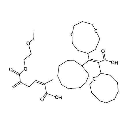 C=C(CC=C(C)C(=O)O)C(=O)OCCOCC.O=C(O)C(=C(C1CCCCCCCCC1)C1CCCCCCCCC1)C1CCCCCCCCC1